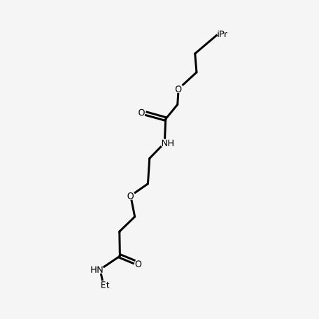 CCNC(=O)CCOCCNC(=O)COCCC(C)C